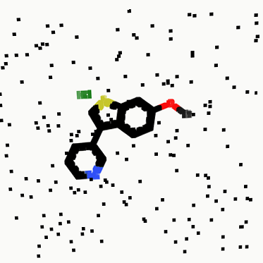 CCOc1ccc2c(-c3cccnc3)csc2c1.Cl